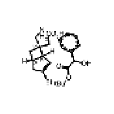 CC(C)(C)OC(=O)C(O)c1ccccc1.CCC1=C[C@@H]2[C@H](C1)C[C@]2(CN)CC(=O)O